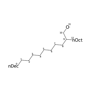 CCCCCCCCCCCCCCCCCCC(C[O])CCCCCCCC